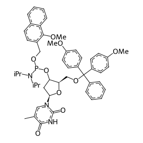 COc1ccc(C(OC[C@H]2O[C@@H](n3cc(C)c(=O)[nH]c3=O)CC2OP(OCc2ccc3ccccc3c2OC)N(C(C)C)C(C)C)(c2ccccc2)c2ccc(OC)cc2)cc1